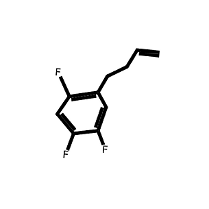 C=CCCc1cc(F)c(F)cc1F